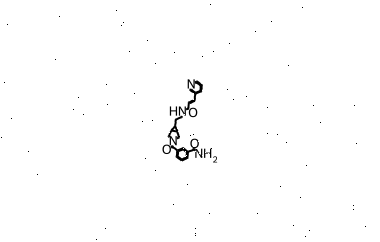 NC(=O)c1cccc(C(=O)N2CC3C(CCNC(=O)/C=C/c4cccnc4)C3C2)c1